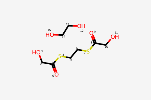 O=C(CO)SCCSC(=O)CO.OCCO